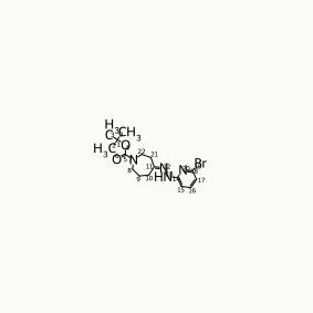 CC(C)(C)OC(=O)N1CCC/C(=N\Nc2cccc(Br)n2)CC1